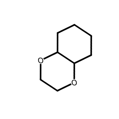 C1CCC2OCCOC2C1